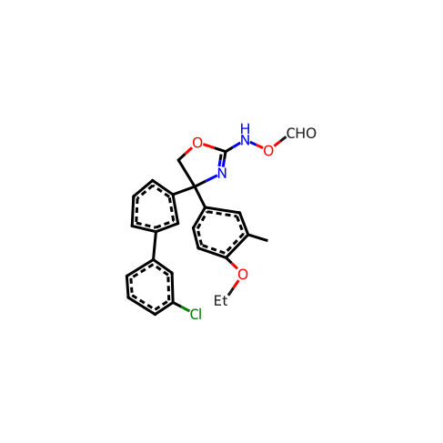 CCOc1ccc(C2(c3cccc(-c4cccc(Cl)c4)c3)COC(NOC=O)=N2)cc1C